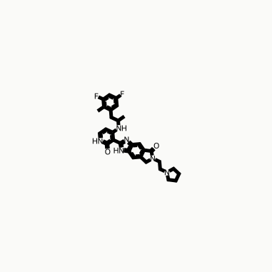 Cc1c(F)cc(F)cc1CC(C)Nc1cc[nH]c(=O)c1-c1nc2cc3c(cc2[nH]1)CN(CCN1CCCC1)C3=O